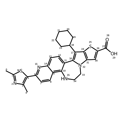 Cc1nc(C)c(-c2ccc3c4c(ccc3n2)-c2c(C3CCCCC3)c3sc(C(=O)O)cc3n2CCN4)s1